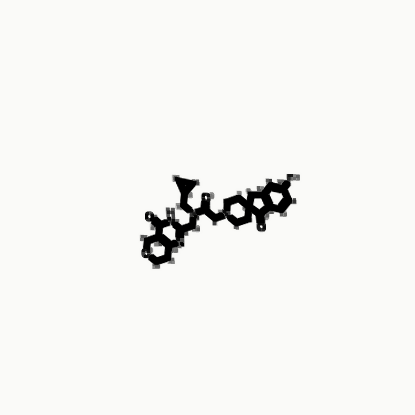 O=C(CN1CCC2(CC1)Cc1cc(F)ccc1C2=O)N(Cc1nc2c(c(=O)[nH]1)COCC2)CC1CC1